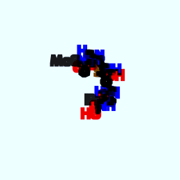 COC(=O)N[C@@H](C(=O)N1CCCC1c1ncc(-c2c[nH]c3c(-c4ccc(-c5cnc(C6CCCN6C(=O)[C@@H](NC(=O)CO)C(C)C)[nH]5)cc4O)csc23)[nH]1)c1ccccc1